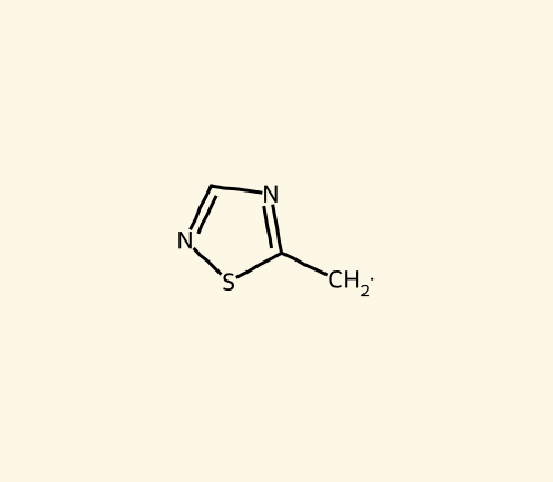 [CH2]c1ncns1